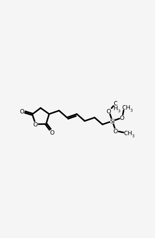 CO[Si](CCC/C=C/CC1CC(=O)OC1=O)(OC)OC